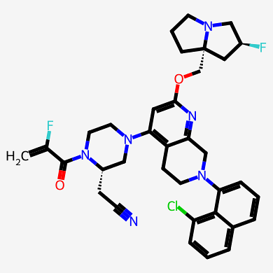 C=C(F)C(=O)N1CCN(c2cc(OC[C@]34CCCN3C[C@@H](F)C4)nc3c2CCN(c2cccc4cccc(Cl)c24)C3)C[C@@H]1CC#N